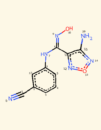 N#Cc1cccc(N/C(=N/O)c2nonc2N)c1